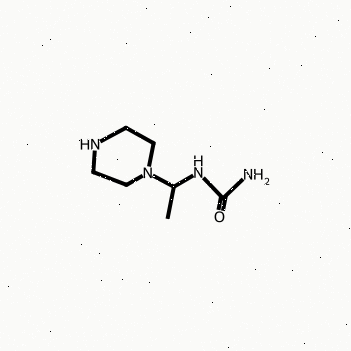 CC(NC(N)=O)N1CCNCC1